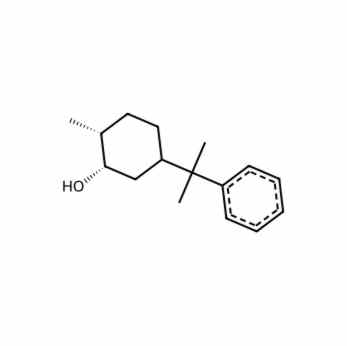 C[C@@H]1CCC(C(C)(C)c2ccccc2)C[C@@H]1O